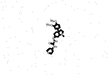 COc1ccc(C23CC/C(=N/NC(=O)Nc4ccncc4)CC2N(C)CC3)cc1OC